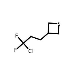 FC(F)(Cl)[CH]CC1CSC1